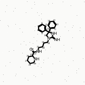 N=C1NC(c2ccccc2)(c2ccccc2)CN1CCCCNC(=O)C1CCCCN1